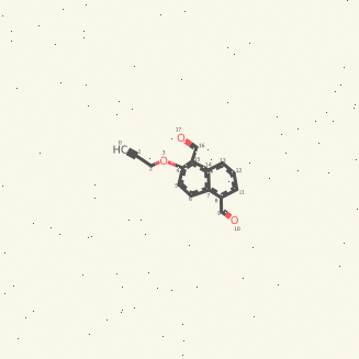 C#CCOc1ccc2c(C=O)cccc2c1C=O